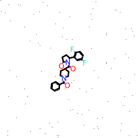 O=C(c1ccccc1)N1CCC2(CC1)OC1CCC(c3cc(F)ccc3F)N1C2=O